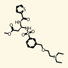 CCN(CC)CCOCc1cccc(S(=O)(=O)N[C@@H](CC(=O)OC)NC(=O)c2cccs2)c1